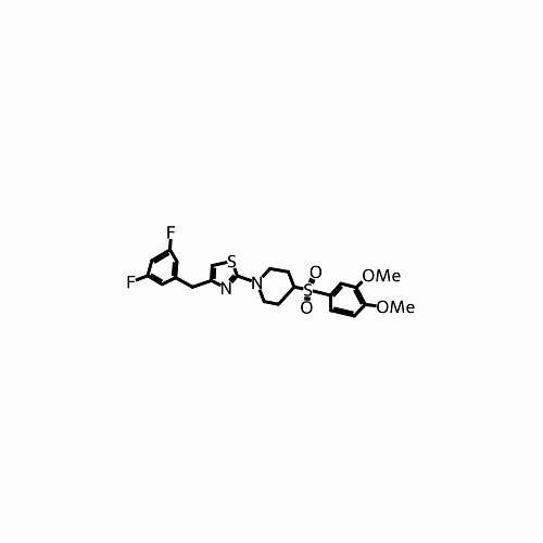 COc1ccc(S(=O)(=O)C2CCN(c3nc(Cc4cc(F)cc(F)c4)cs3)CC2)cc1OC